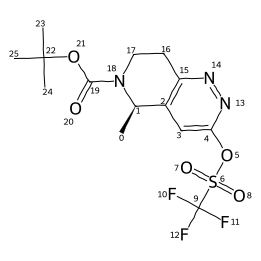 C[C@@H]1c2cc(OS(=O)(=O)C(F)(F)F)nnc2CCN1C(=O)OC(C)(C)C